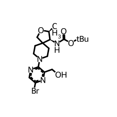 C[C@@H]1OCC2(CCN(c3ncc(Br)nc3CO)CC2)[C@@H]1NC(=O)OC(C)(C)C